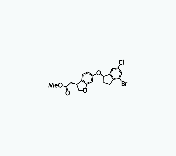 COC(=O)C[C@@H]1COc2cc(O[C@@H]3CCc4c(Br)cc(Cl)cc43)ccc21